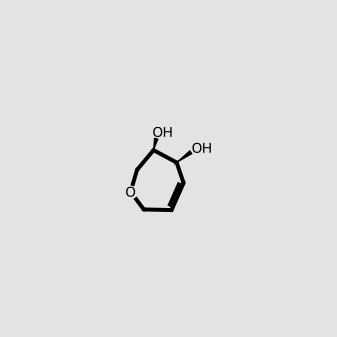 O[C@@H]1COCC=C[C@@H]1O